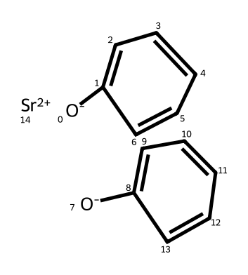 [O-]c1ccccc1.[O-]c1ccccc1.[Sr+2]